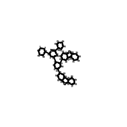 c1ccc(-c2cc(-c3ccc(-c4ccc5oc6ccccc6c5c4)cc3-c3ccc4oc5ccccc5c4c3)nc(-c3ccccc3)n2)cc1